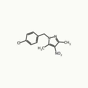 Cc1nn(Cc2ccc(Cl)cc2)c(C)c1[N+](=O)[O-]